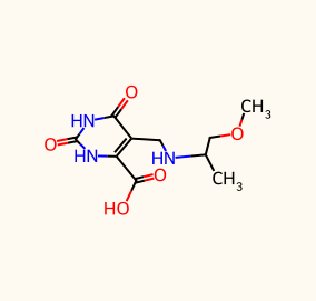 COCC(C)NCc1c(C(=O)O)[nH]c(=O)[nH]c1=O